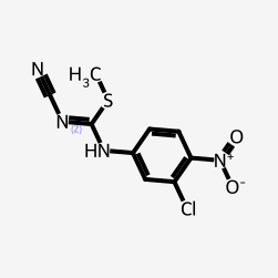 CS/C(=N\C#N)Nc1ccc([N+](=O)[O-])c(Cl)c1